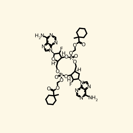 CC1(C(=O)OCOP2(=O)OC[C@H]3O[C@@H](n4cnc5c(N)ncnc54)C(F)[C@H]3OP(=O)(OCOC(=O)C3(C)CCCCC3)OC[C@H]3C[C@@H](n4cnc5c(N)ncnc54)C(F)[C@H]3O2)CCCCC1